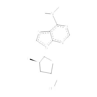 CN(C)c1ncnc2c1ncn2[C@@H]1O[C@H](CO)C[C@H]1F